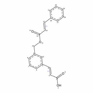 O=C(O)/C=C/c1cccc(COC(=O)/C=C/c2ccccc2)c1